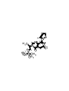 CC(CO[Si](C)(C)C(C)(C)C)n1cnc2c(-n3cccn3)nc(Cl)cc2c1=O